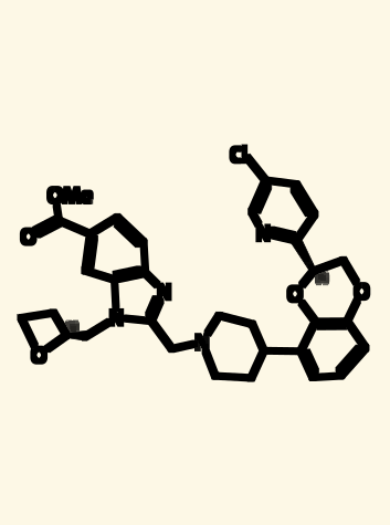 COC(=O)c1ccc2nc(CN3CCC(c4cccc5c4O[C@@H](c4ccc(Cl)cn4)CO5)CC3)n(C[C@@H]3CCO3)c2c1